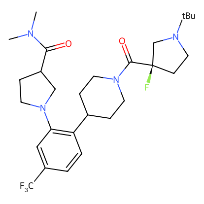 CN(C)C(=O)C1CCN(c2cc(C(F)(F)F)ccc2C2CCN(C(=O)[C@@]3(F)CCN(C(C)(C)C)C3)CC2)C1